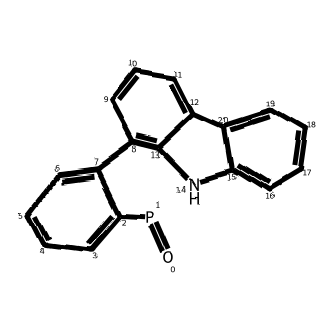 O=Pc1ccccc1-c1cccc2c1[nH]c1ccccc12